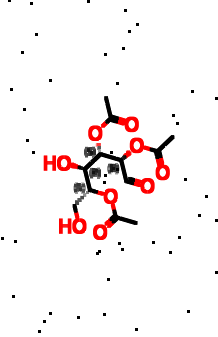 CC(=O)O[C@@H]([C@H](O)[C@@H](CO)OC(C)=O)[C@H](C=O)OC(C)=O